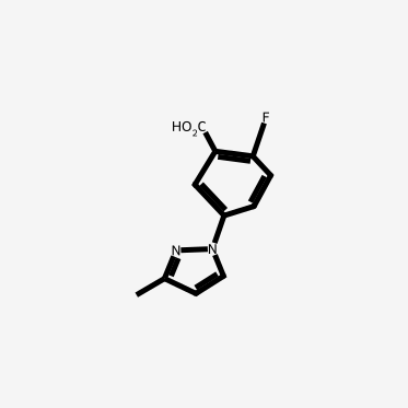 Cc1ccn(-c2ccc(F)c(C(=O)O)c2)n1